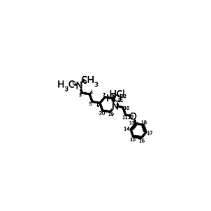 CN(C)CCCC1CCN(CCOc2ccccc2)CC1.Cl.Cl